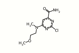 COCCN(C)c1cc(C(N)=O)nc(Cl)n1